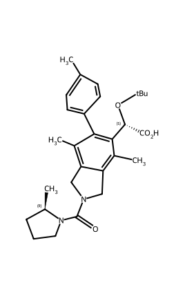 Cc1ccc(-c2c(C)c3c(c(C)c2[C@H](OC(C)(C)C)C(=O)O)CN(C(=O)N2CCC[C@H]2C)C3)cc1